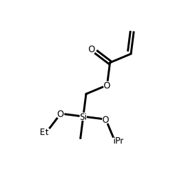 C=CC(=O)OC[Si](C)(OCC)OC(C)C